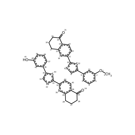 COc1cccc(-c2cnc(-c3ccc4c(n3)CCCC4=O)s2)c1.O=C1CCCc2nc(-c3ncc(-c4cccc(O)c4)s3)ccc21